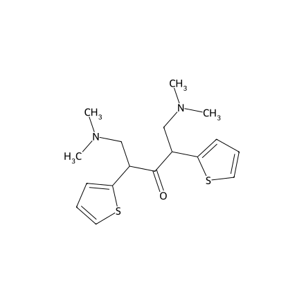 CN(C)CC(C(=O)C(CN(C)C)c1cccs1)c1cccs1